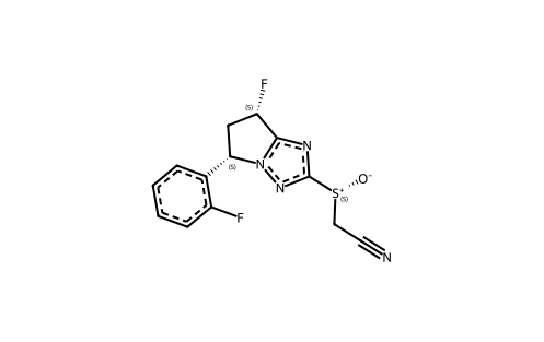 N#CC[S@@+]([O-])c1nc2n(n1)[C@H](c1ccccc1F)C[C@@H]2F